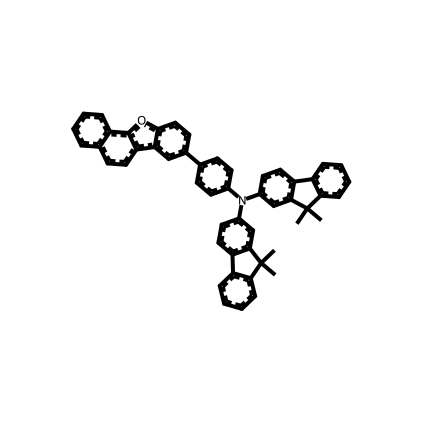 CC1(C)c2ccccc2-c2ccc(N(c3ccc(-c4ccc5oc6c7ccccc7ccc6c5c4)cc3)c3ccc4c(c3)C(C)(C)c3ccccc3-4)cc21